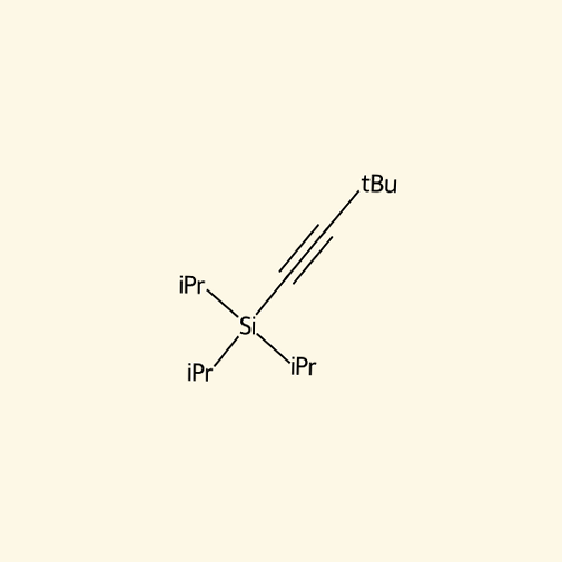 CC(C)[Si](C#CC(C)(C)C)(C(C)C)C(C)C